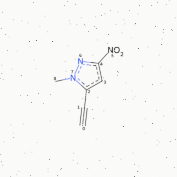 C#Cc1cc([N+](=O)[O-])nn1C